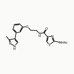 CC(=O)Nc1nc(C(=O)NCCOc2c[c]cc(-c3c[nH]nc3C)c2)cs1